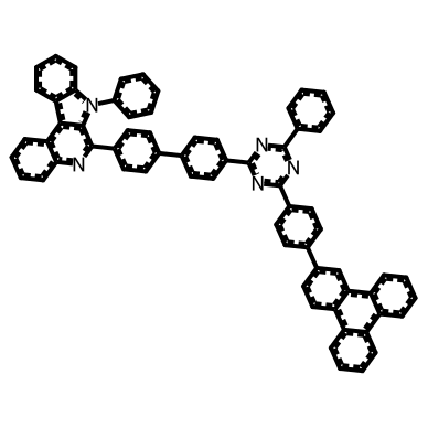 c1ccc(-c2nc(-c3ccc(-c4ccc(-c5nc6ccccc6c6c7ccccc7n(-c7ccccc7)c56)cc4)cc3)nc(-c3ccc(-c4ccc5c6ccccc6c6ccccc6c5c4)cc3)n2)cc1